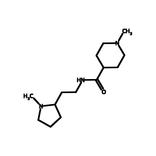 CN1CCC(C(=O)NCCC2CCCN2C)CC1